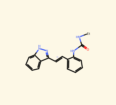 CCNC(=O)Nc1ccccc1/C=C/c1n[nH]c2ccccc12